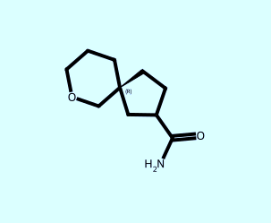 NC(=O)C1CC[C@@]2(CCCOC2)C1